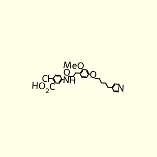 COc1cc(OCCCCCc2ccncc2)ccc1CCC(=O)Nc1ccc(Cl)c(C(=O)O)c1